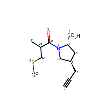 C#CC[C@@H]1C[C@@H](C(=O)O)N(C(=O)C(C)CSC(C)=O)C1